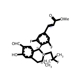 COC(=O)/C=C/c1cc(F)c([C@@H]2c3cc(C=O)c(O)cc3C[C@@H](C)N2CC(C)(C)F)c(F)c1